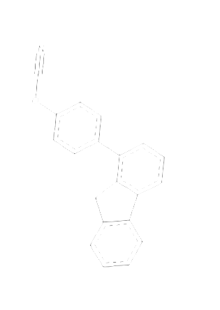 N#COc1ccc(-c2cccc3c2Cc2ccccc2-3)cc1